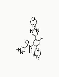 C[C@@H]1CN(c2cc(F)c(-c3cnc(N4CCOCC4)nc3)cc2NC(=O)c2cnn(C)c2)CCN1C